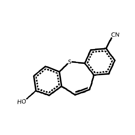 N#Cc1ccc2c(c1)Sc1ccc(O)cc1C=C2